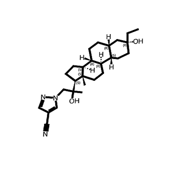 CC[C@@]1(O)CC[C@H]2[C@H](CC[C@@H]3[C@@H]2CC[C@]2(C)[C@@H](C(C)(O)Cn4cc(C#N)cn4)CC[C@@H]32)C1